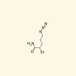 CCC(CCCN=[N+]=[N-])C(N)=O